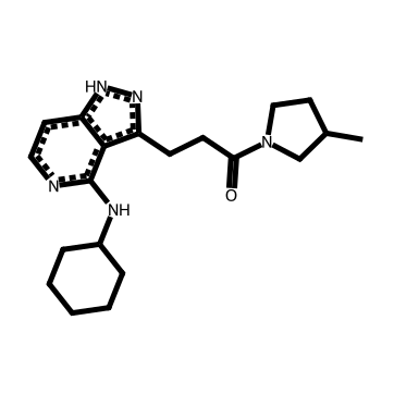 CC1CCN(C(=O)CCc2n[nH]c3ccnc(NC4CCCCC4)c23)C1